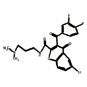 CN(C)CCCNC(=O)c1oc2ccc(Cl)cc2c(=O)c1C(=O)c1ccc(F)c(F)c1